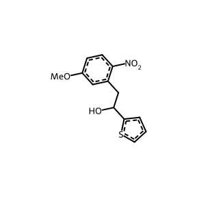 COc1ccc([N+](=O)[O-])c(CC(O)c2cccs2)c1